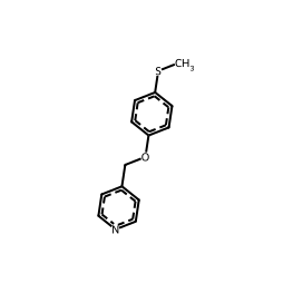 CSc1ccc(OCc2ccncc2)cc1